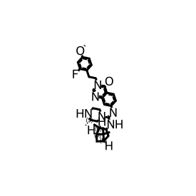 COc1ccc(CCn2cnc3cc(N=C(NC4C[C@@H]5C[C@@H]([C@H]4C)C5(C)C)N4CCN[C@@H](C)C4)ccc3c2=O)c(F)c1